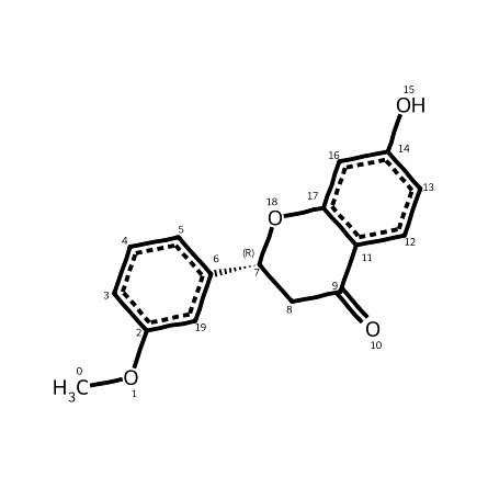 COc1cccc([C@H]2CC(=O)c3ccc(O)cc3O2)c1